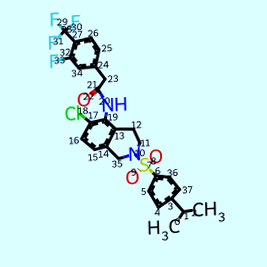 CC(C)c1ccc(S(=O)(=O)N2CCc3c(ccc(Cl)c3NC(=O)Cc3ccc(C(F)(F)F)c(F)c3)C2)cc1